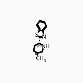 C[C@H]1CC[C@H](c2nc3ccccc3s2)NC1